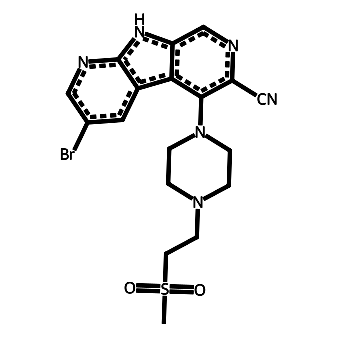 CS(=O)(=O)CCN1CCN(c2c(C#N)ncc3[nH]c4ncc(Br)cc4c23)CC1